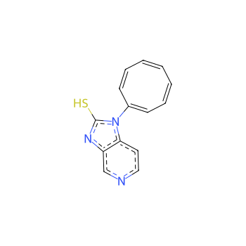 Sc1nc2cnccc2n1C1=C/C=C\C=C/C=C\1